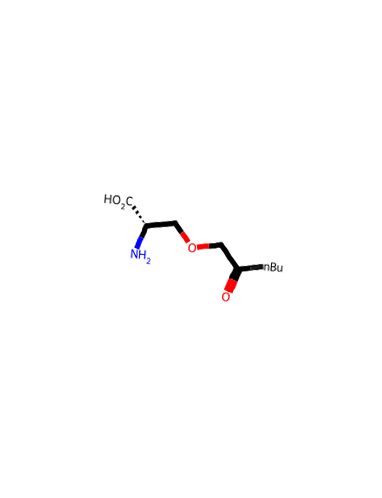 CCCCC(=O)COC[C@H](N)C(=O)O